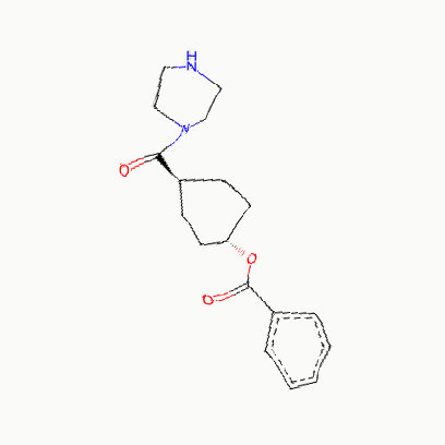 O=C(O[C@H]1CC[C@H](C(=O)N2CCNCC2)CC1)c1ccccc1